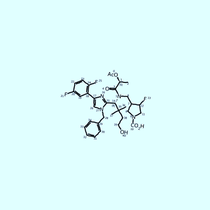 CC(=O)O[C@@H](C)C(=O)N(CC1CN(C(=O)O)CC1F)[C@@H](c1nc(-c2cc(F)ccc2F)cn1Cc1ccccc1)C(C)(C)CCO